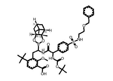 COc1c(C(=O)O)ccc(C(C)(C)C)c1CC(NC(=O)C(NC(=O)OC(C)(C)C)c1ccc(S(=O)(=O)NCCOCc2ccccc2)cc1)B1O[C@@H]2C[C@@H]3C[C@@H](C3(C)C)[C@]2(C)O1